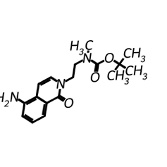 CN(CCn1ccc2c(N)cccc2c1=O)C(=O)OC(C)(C)C